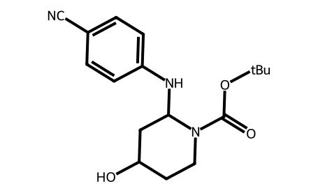 CC(C)(C)OC(=O)N1CCC(O)CC1Nc1ccc(C#N)cc1